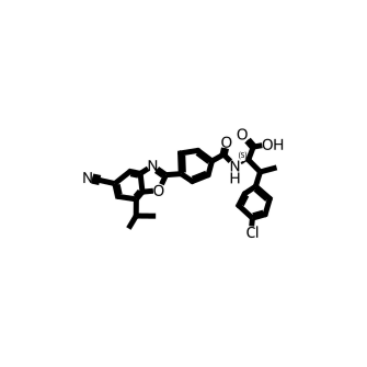 CC(C)c1cc(C#N)cc2nc(-c3ccc(C(=O)N[C@H](C(=O)O)C(C)c4ccc(Cl)cc4)cc3)oc12